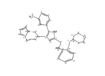 Cc1cccc(-c2[nH]c(CNc3ccccc3CN3CCOCC3)nc2N2C=Cc3ncnn3C2)n1